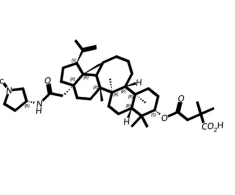 C=C(C)[C@@H]1CC[C@]2(CC(=O)N[C@@H]3CCN(C(C)=O)C3)CC[C@]3(C)C4C(CCC[C@@H]5[C@@]6(C)CC[C@H](OC(=O)CC(C)(C)C(=O)O)C(C)(C)[C@@H]6CC[C@]53C)[C@]412